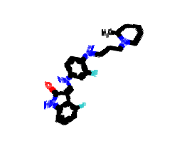 CC1CCCCN1CCCNc1ccc(NC=C2C(=O)Nc3cccc(F)c32)cc1F